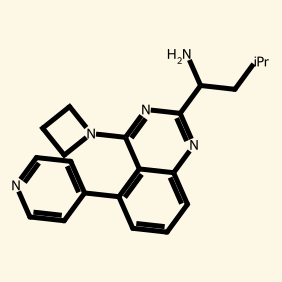 CC(C)CC(N)c1nc(N2CCC2)c2c(-c3ccncc3)cccc2n1